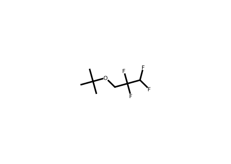 CC(C)(C)OCC(F)(F)C(F)F